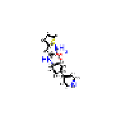 NC(=O)[C@@H](Cc1cccs1)Nc1ccc(-c2ccncc2)cc1